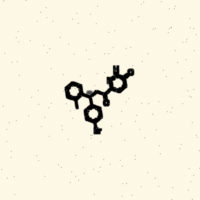 Cc1ccccc1[C@@H](CC(=O)c1ccc(=O)[nH]n1)c1ccc(Br)cc1